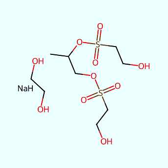 CC(COS(=O)(=O)CCO)OS(=O)(=O)CCO.OCCO.[NaH]